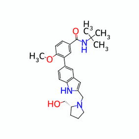 COc1ccc(C(=O)NC(C)(C)C)cc1-c1ccc2[nH]c(CN3CCC[C@@H]3CO)cc2c1